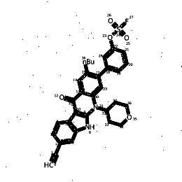 C#Cc1ccc2c(c1)[nH]c1c2c(=O)c2cc(CCCC)c(-c3cccc(OS(=O)(=O)F)c3)cc2n1C1CCOCC1